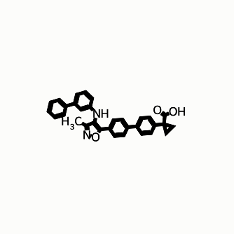 Cc1noc(-c2ccc(-c3ccc(C4(C(=O)O)CC4)cc3)cc2)c1Nc1cccc(-c2ccccc2)c1